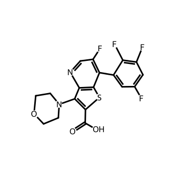 O=C(O)c1sc2c(-c3cc(F)cc(F)c3F)c(F)cnc2c1N1CCOCC1